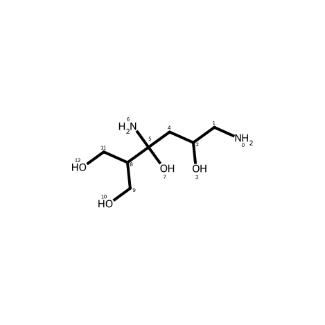 NCC(O)CC(N)(O)C(CO)CO